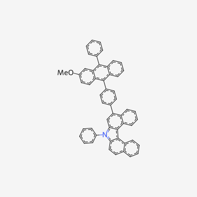 COc1ccc2c(-c3ccc(-c4cc5c(c6ccccc46)c4c6ccccc6ccc4n5-c4ccccc4)cc3)c3ccccc3c(-c3ccccc3)c2c1